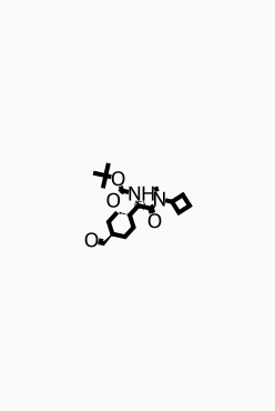 CN(C(=O)[C@@H](NC(=O)OC(C)(C)C)[C@H]1CC[C@H](C=O)CC1)C1CCC1